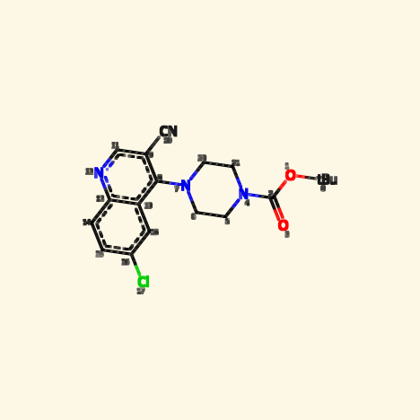 CC(C)(C)OC(=O)N1CCN(c2c(C#N)cnc3ccc(Cl)cc23)CC1